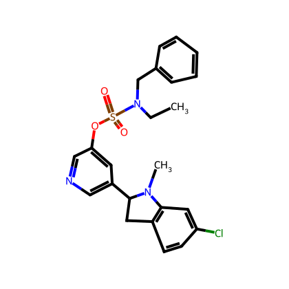 CCN(Cc1ccccc1)S(=O)(=O)Oc1cncc(C2Cc3ccc(Cl)cc3N2C)c1